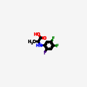 CC(Nc1cc(F)c(F)cc1I)C(=O)O